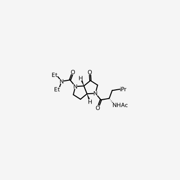 CCN(CC)C(=O)N1CC[C@@H]2[C@H]1C(=O)CN2C(=O)[C@H](CC(C)C)NC(C)=O